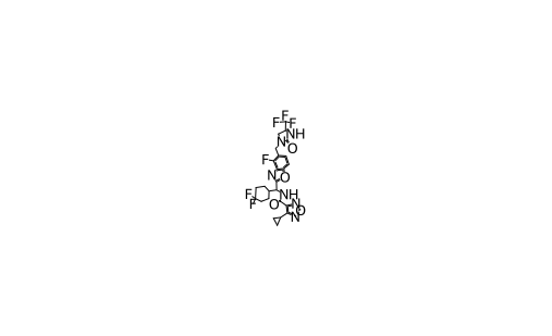 O=C(NC(c1nc2c(F)c(CN3CC(C(F)(F)F)NC3=O)ccc2o1)C1CCC(F)(F)CC1)c1nonc1C1CC1